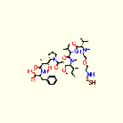 CC[C@H](C)[C@@H]([C@@H](CC(=O)N1CCC[C@H]1[C@H](OC)[C@@H](C)C(=O)N[C@@H](Cc1ccccc1)C(=O)O)OC)N(C)C(=O)[C@@H](NC(=O)[C@H](C(C)C)N(C)CCOCCNSS)C(C)C